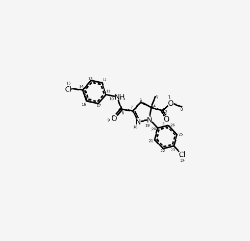 COC(=O)C1(C)CC(C(=O)Nc2ccc(Cl)cc2)=NN1c1ccc(Cl)cc1